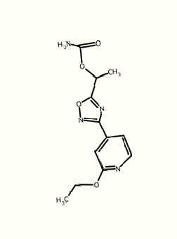 CCOc1cc(-c2noc(C(C)OC(N)=O)n2)ccn1